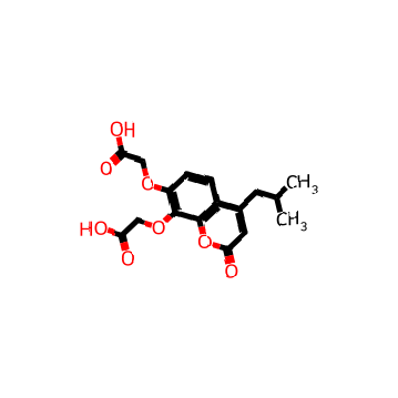 CC(C)Cc1cc(=O)oc2c(OCC(=O)O)c(OCC(=O)O)ccc12